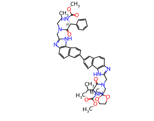 CCCN(Cc1nc2ccc3cc(-c4ccc5c(ccc6nc(CN(CC7(C)OCCO7)C(=O)[C@@H](NC(=O)OC)C(C)C)[nH]c65)c4)ccc3c2[nH]1)C(=O)[C@H](NC(=O)OC)c1ccccc1